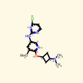 COc1cc(Nc2nccc(Cl)n2)cnc1OC1CC(N(C)C)C1